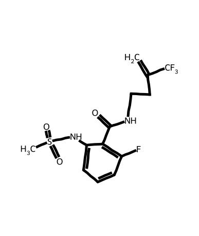 C=C(CCNC(=O)c1c(F)cccc1NS(C)(=O)=O)C(F)(F)F